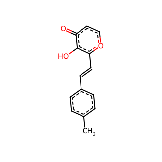 Cc1ccc(/C=C/c2occc(=O)c2O)cc1